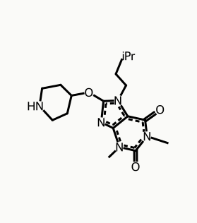 CC(C)CCn1c(OC2CCNCC2)nc2c1c(=O)n(C)c(=O)n2C